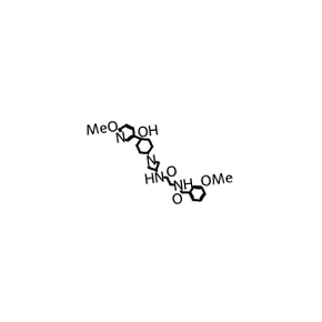 COc1cccc(C(=O)NCC(=O)NC2CN([C@H]3CC[C@@](O)(c4ccc(OC)nc4)CC3)C2)c1